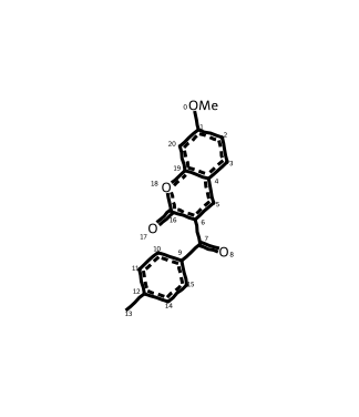 COc1ccc2cc(C(=O)c3ccc(C)cc3)c(=O)oc2c1